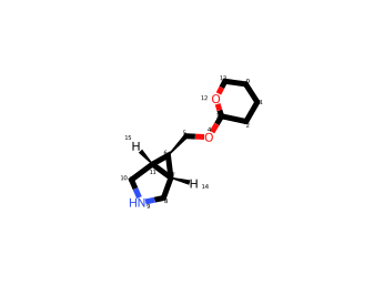 C1CCC(OC[C@H]2[C@@H]3CNC[C@@H]32)OC1